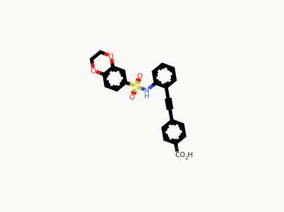 O=C(O)c1ccc(C#Cc2ccccc2NS(=O)(=O)c2ccc3c(c2)OCCO3)cc1